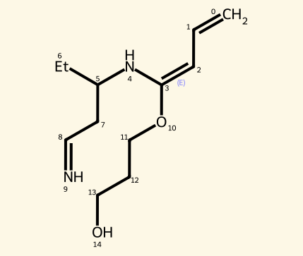 C=C/C=C(\NC(CC)CC=N)OCCCO